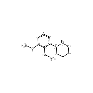 [SiH3]Oc1cccc([SiH]2CCCO[SiH2]2)c1O[SiH3]